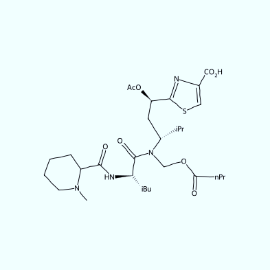 CCCC(=O)OCN(C(=O)[C@H](NC(=O)C1CCCCN1C)[C@@H](C)CC)[C@H](C[C@@H](OC(C)=O)c1nc(C(=O)O)cs1)C(C)C